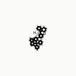 CC1(c2ccccc2)c2cc(-c3cccc(C4(c5ccccc5)c5ccccc5-c5ccc6ccccc6c54)c3)ccc2OC2=CC=CCC21